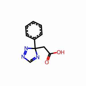 O=C(O)CC1(c2ccccc2)N=CN=N1